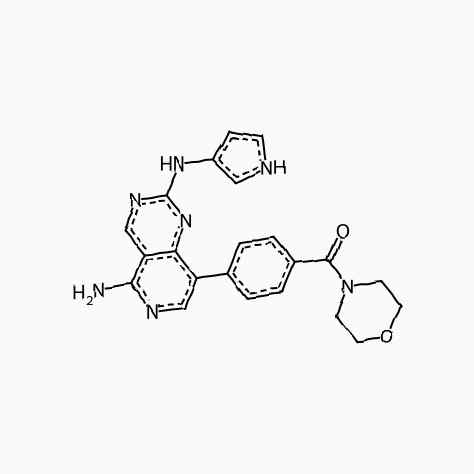 Nc1ncc(-c2ccc(C(=O)N3CCOCC3)cc2)c2nc(Nc3cc[nH]c3)ncc12